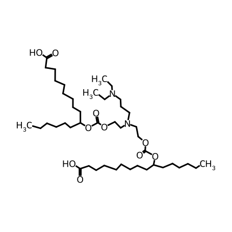 CCCCCCC(CCCCCCCCC(=O)O)OC(=O)OCCN(CCCN(CC)CC)CCOC(=O)OC(CCCCCC)CCCCCCCCC(=O)O